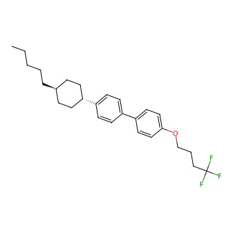 CCCCC[C@H]1CC[C@H](c2ccc(-c3ccc(OCCCC(F)(F)F)cc3)cc2)CC1